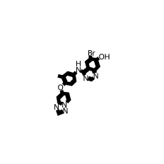 Cc1cc(Nc2ncnc3cc(O)c(Br)cc23)ccc1Oc1ccn2ncnc2c1